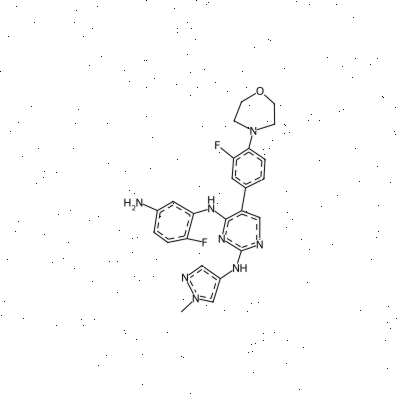 Cn1cc(Nc2ncc(-c3ccc(N4CCOCC4)c(F)c3)c(Nc3cc(N)ccc3F)n2)cn1